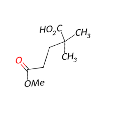 COC(=O)CCC(C)(C)C(=O)O